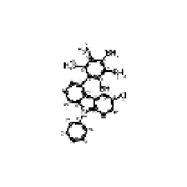 Bc1c(B)c(B)c(-c2cccc3c2c2cc(Cl)ccc2n3-c2ccccc2)c(B)c1B